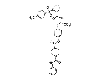 Cc1ccc(S(=O)(=O)N2CCC[C@H]2C(=O)N[C@@H](Cc2ccc(OC(=O)N3CCN(C(=O)Nc4ccccc4)CC3)cc2)C(=O)O)cc1